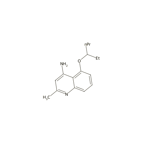 CCCC(CC)Oc1cccc2nc(C)cc(N)c12